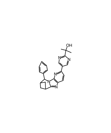 CC(C)(O)c1ncc(-c2ccc3nc4n(c3n2)C(c2ccccc2)C2CC4C2)cn1